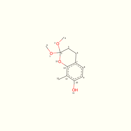 COC1(OC)CCc2ccc(O)c(C)c2O1